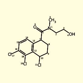 CN(CCO)C(=O)C1CCC(Cl)c2c1ccc(Cl)c2Cl